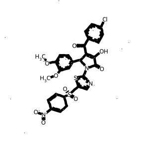 COc1ccc(C2C(C(=O)c3ccc(Cl)cc3)=C(O)C(=O)N2c2ncc(S(=O)(=O)C3C=CC([N+](=O)[O-])=CC3)s2)cc1OC